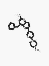 CN1CCN(c2ccc(-c3ccc4nc(N)nc(Cc5ccccc5)c4n3)cn2)CC1